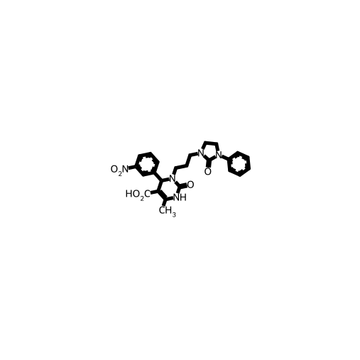 CC1=C(C(=O)O)C(c2cccc([N+](=O)[O-])c2)N(CCCN2CCN(c3ccccc3)C2=O)C(=O)N1